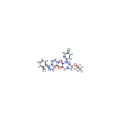 CC(C)(C)[Si](C)(C)OC1CN(C[C@H](Oc2ncnc3c2cnn3-c2ccccc2Cl)C(=O)Nc2ccc(Cl)cn2)C1